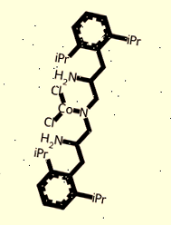 CC(C)c1cccc(C(C)C)c1CC(N)C[N](CC(N)Cc1c(C(C)C)cccc1C(C)C)[Co]([Cl])[Cl]